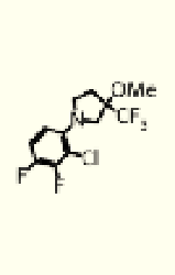 COC1(C(F)(F)F)CCN(c2ccc(F)c(F)c2Cl)C1